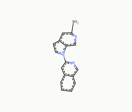 O=[N+]([O-])c1cc2ccn(-c3cc4ccccc4cn3)c2cn1